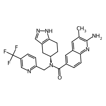 Cc1cc2cc(C(=O)N(Cc3ccc(C(F)(F)F)cn3)[C@@H]3CCc4[nH]ncc4C3)ccc2nc1N